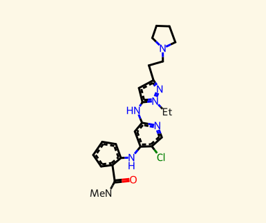 CCn1nc(CCN2CCCC2)cc1Nc1cc(Nc2ccccc2C(=O)NC)c(Cl)cn1